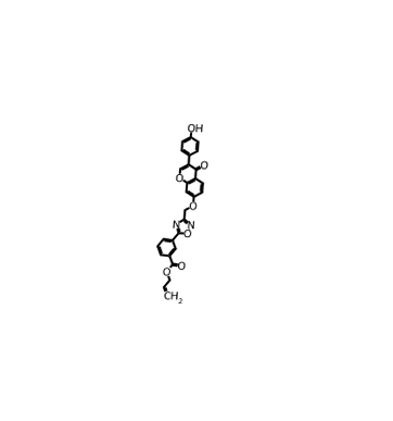 C=CCOC(=O)c1cccc(-c2nc(COc3ccc4c(=O)c(-c5ccc(O)cc5)coc4c3)no2)c1